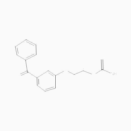 NC(=O)OCCOc1cccc(C(=O)c2ccccc2)c1